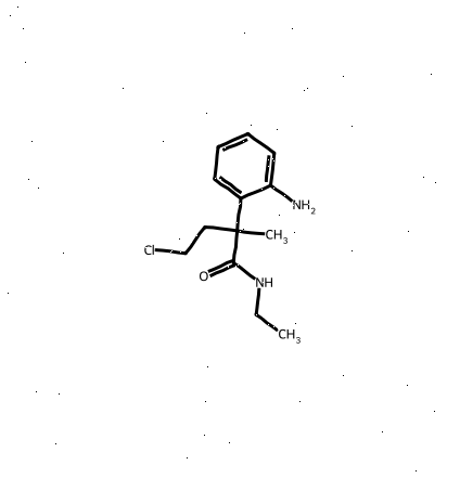 CCNC(=O)C(C)(CCCl)c1ccccc1N